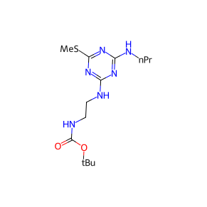 CCCNc1nc(NCCNC(=O)OC(C)(C)C)nc(SC)n1